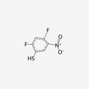 O=[N+]([O-])c1cc(S)c(F)cc1F